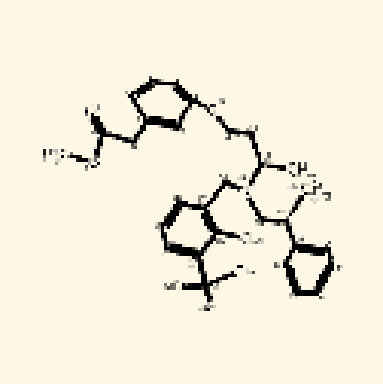 COC(=O)Cc1cccc(OCC[C@@H](C)N(Cc2cccc(C(F)(F)F)c2Cl)C[C@@H](C)c2ccccc2)c1